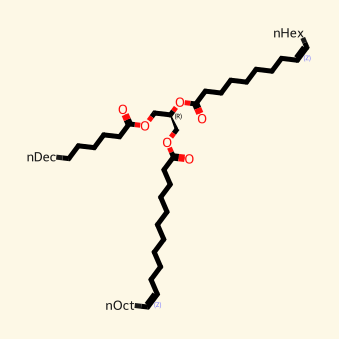 CCCCCC/C=C\CCCCCCCC(=O)O[C@@H](COC(=O)CCCCCCCCC/C=C\CCCCCCCC)COC(=O)CCCCCCCCCCCCCCC